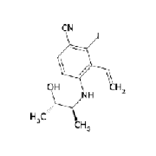 C=Cc1c(N[C@@H](C)[C@H](C)O)ccc(C#N)c1I